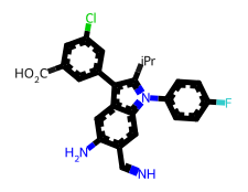 CC(C)c1c(-c2cc(Cl)cc(C(=O)O)c2)c2cc(N)c(C=N)cc2n1-c1ccc(F)cc1